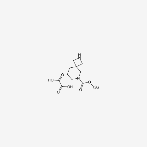 CC(C)(C)OC(=O)N1CCCC2(CNC2)C1.O=C(O)C(=O)O